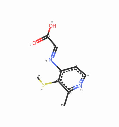 CSc1c(/N=C/C(=O)O)ccnc1C